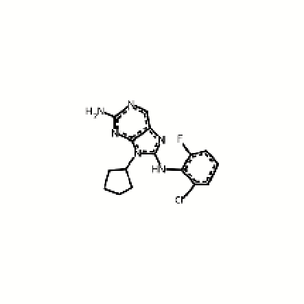 Nc1ncc2nc(Nc3c(F)cccc3Cl)n(C3CCCC3)c2n1